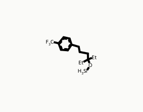 CCC(CC)(CCCc1ccc(C(F)(F)F)cc1)O[SiH3]